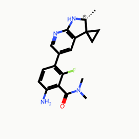 C[C@H]1Nc2ncc(-c3ccc(N)c(C(=O)N(C)C)c3F)cc2C12CC2